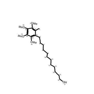 COc1c(C)c(CCCCCCCCCCCCO)c(OC)c(OC)c1OC